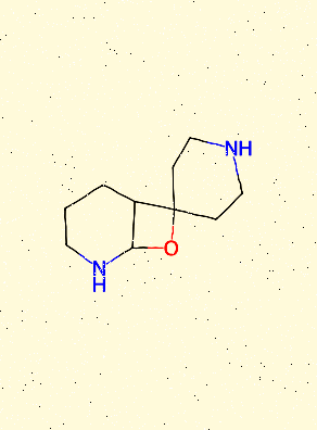 C1CNC2OC3(CCNCC3)C2C1